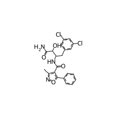 Cc1noc(-c2ccccc2)c1C(=O)NC(Cc1cc(Cl)cc(Cl)c1)C(O)C(N)=O